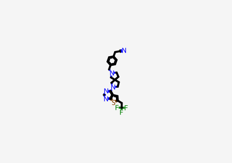 N#CCc1ccc(CN2CCC3(CCN(c4ncnc5sc(CC(F)(F)F)cc45)C3)C2)cc1